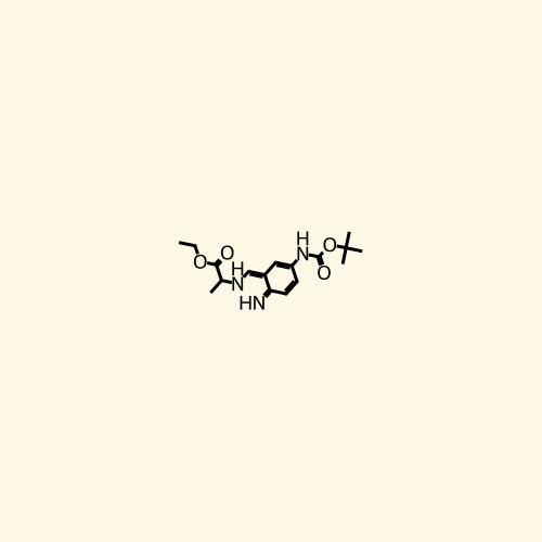 CCOC(=O)C(C)N/C=C1/C=C(NC(=O)OC(C)(C)C)C=CC1=N